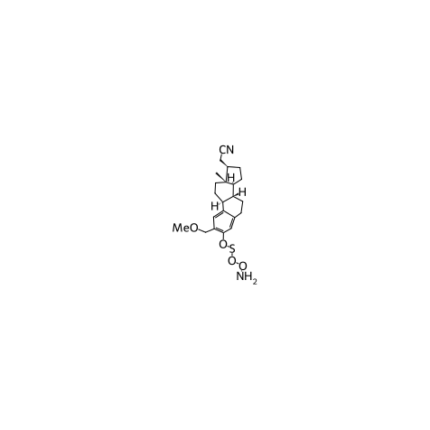 COCc1cc2c(cc1OSOON)CC[C@@H]1[C@@H]2CC[C@]2(C)[C@@H](CC#N)CC[C@@H]12